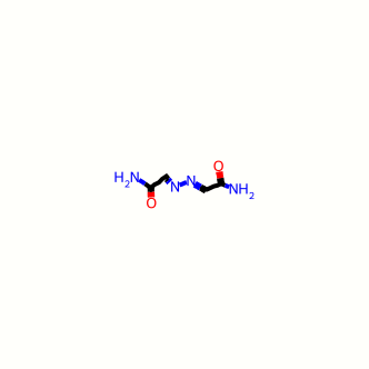 NC(=O)C=NN=CC(N)=O